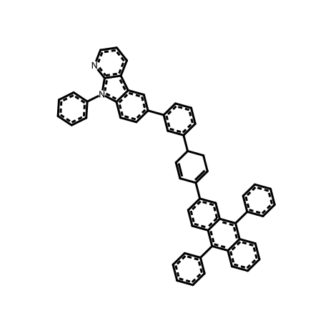 C1=CC(c2cccc(-c3ccc4c(c3)c3cccnc3n4-c3ccccc3)c2)CC=C1c1ccc2c(-c3ccccc3)c3ccccc3c(-c3ccccc3)c2c1